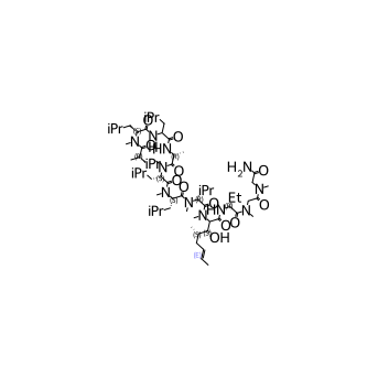 C/C=C/C[C@H](C)[C@H](O)C(C(=O)N[C@H](CC)C(=O)N(C)CC(=O)N(C)CC(N)=O)N(C)C(=O)[C@@H](C(C)C)N(C)C(=O)[C@H](CC(C)C)N(C)C(=O)[C@H](CC(C)C)N(C)C(=O)[C@@H](C)NC(=O)C(CC(C)C)NC(=O)[C@H](CC(C)C)N(C)C(=O)[C@H](C)C(C)C